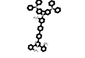 Cc1ccccc1-c1cc(-c2ccc(-c3ccc(-c4ccc(-n5c6ccc(N(c7ccccc7)c7ccccc7)cc6c6cc(N(c7ccccc7)c7ccccc7)ccc65)c(C)c4)cc3)cc2)nc(-c2ccccc2C)n1